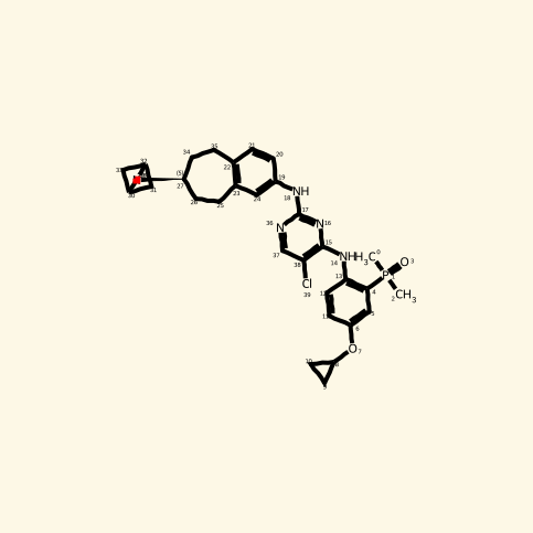 CP(C)(=O)c1cc(OC2CC2)ccc1Nc1nc(Nc2ccc3c(c2)CC[C@@H](N2CC4CC2C4)CC3)ncc1Cl